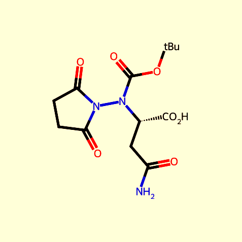 CC(C)(C)OC(=O)N([C@@H](CC(N)=O)C(=O)O)N1C(=O)CCC1=O